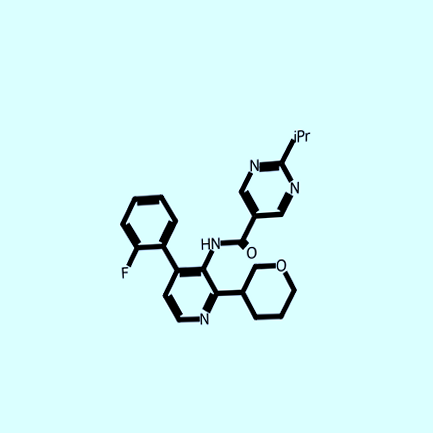 CC(C)c1ncc(C(=O)Nc2c(-c3ccccc3F)ccnc2C2CCCOC2)cn1